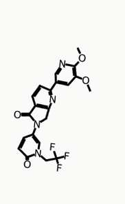 COc1cc(-c2ccc3c(n2)CN(c2ccc(=O)n(CC(F)(F)F)c2)C3=O)cnc1OC